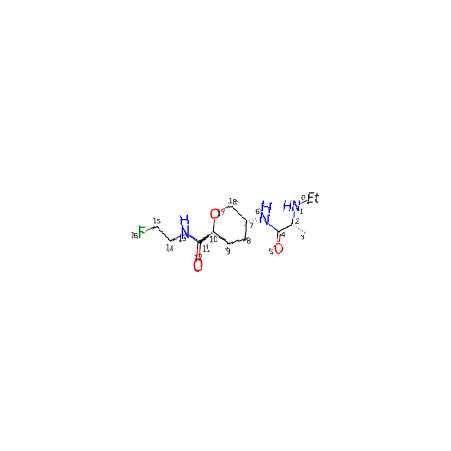 CCN[C@H](C)C(=O)N[C@@H]1CC[C@@H](C(=O)NCCF)OC1